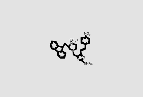 CC(=O)Nc1nc(C=Cc2ccc([N+](=O)[O-])cc2)c(CN2CCN(C(=O)O)C(CC3c4ccccc4-c4ccccc43)C2)s1